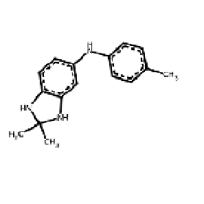 Cc1ccc(Nc2ccc3c(c2)NC(C)(C)N3)cc1